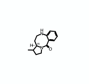 CC1CCN2C(=O)c3ccccc3NCC[C@H]12